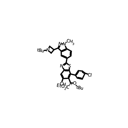 CCOC(=O)[C@@H](OC(C)(C)C)c1c(C)cc2nc(-c3ccc4c(c3)c(C3CN(C(C)(C)C)C3)nn4C)sc2c1-c1ccc(Cl)cc1